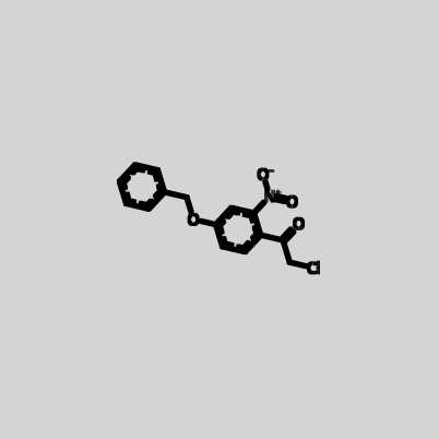 O=C(CCl)c1ccc(OCc2ccccc2)cc1[N+](=O)[O-]